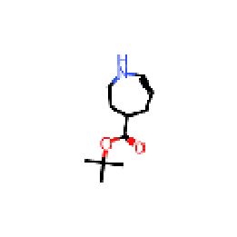 CC(C)(C)OC(=O)C1CC=CNCC1